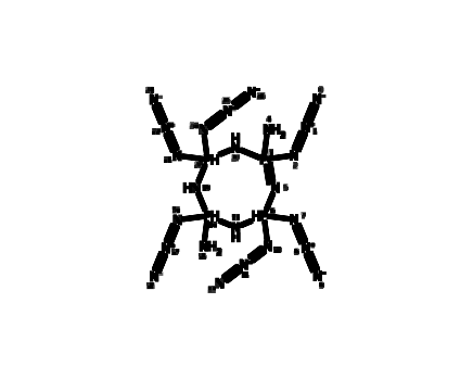 [N-]=[N+]=NP1(N)=N[PH](N=[N+]=[N-])(N=[N+]=[N-])N[PH](N)(N=[N+]=[N-])N[PH](N=[N+]=[N-])(N=[N+]=[N-])N1